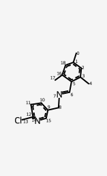 Cc1cc(C)c(C=NCc2ccc(Cl)nc2)c(C)c1